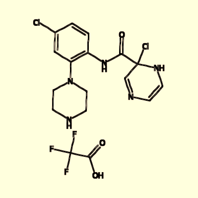 O=C(Nc1ccc(Cl)cc1N1CCNCC1)C1(Cl)C=NC=CN1.O=C(O)C(F)(F)F